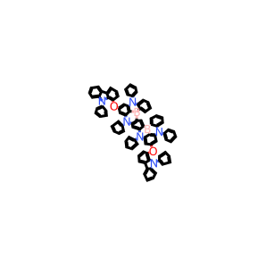 c1ccc(N2c3ccccc3B3c4cc5c(cc4N(c4ccccc4)c4cc(Oc6cccc7c8ccccc8n(-c8ccccc8)c67)cc2c43)N(c2ccccc2)c2cc(Oc3cccc4c6ccccc6n(-c6ccccc6)c34)cc3c2B5c2ccccc2N3c2ccccc2)cc1